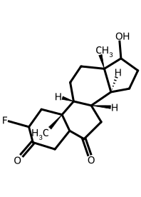 C[C@]12CC(F)C(=O)CC1C(=O)C[C@@H]1[C@H]2CC[C@]2(C)C(O)CC[C@@H]12